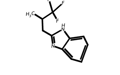 CC(Cc1nc2ccccc2[nH]1)C(F)(F)F